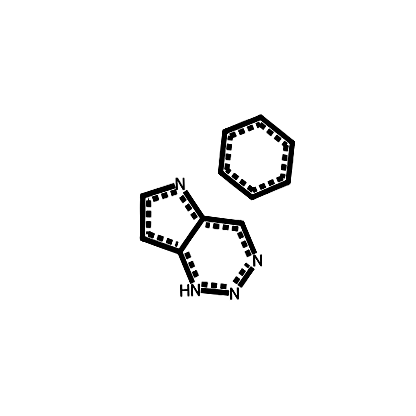 c1cc2[nH]nncc-2n1.c1ccccc1